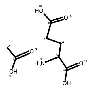 CC(=O)O.NC(CCC(=O)O)C(=O)O